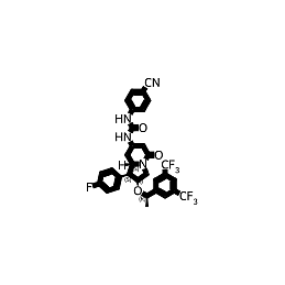 C[C@@H](O[C@H]1CN2C(=O)CC(NC(=O)Nc3ccc(C#N)cc3)C[C@H]2[C@@H]1c1ccc(F)cc1)c1cc(C(F)(F)F)cc(C(F)(F)F)c1